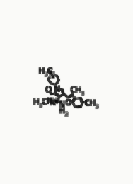 CN/N=C(/N)c1c(-c2oc3ccc(C)cc3c2C)cn(C2CCN(C)CC2)c1C=O